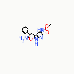 CCOC(=O)Nc1cnc2[nH]cc(C=C(C(N)=O)c3ccccc3)c2c1